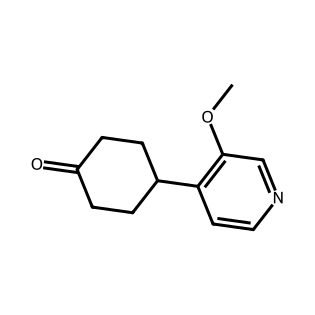 COc1cnccc1C1CCC(=O)CC1